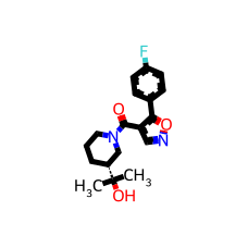 CC(C)(O)[C@@H]1CCCN(C(=O)c2cnoc2-c2ccc(F)cc2)C1